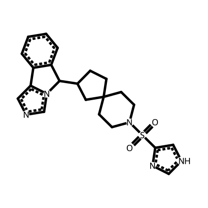 O=S(=O)(c1c[nH]cn1)N1CCC2(CCC(C3c4ccccc4-c4cncn43)C2)CC1